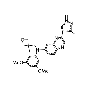 COc1cc(OC)cc(N(CC2(C)COC2)c2ccc3ncc(-c4c[nH]nc4C)nc3c2)c1